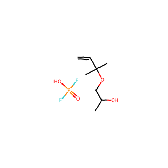 C=CC(C)(C)OCC(C)O.O=P(O)(F)F